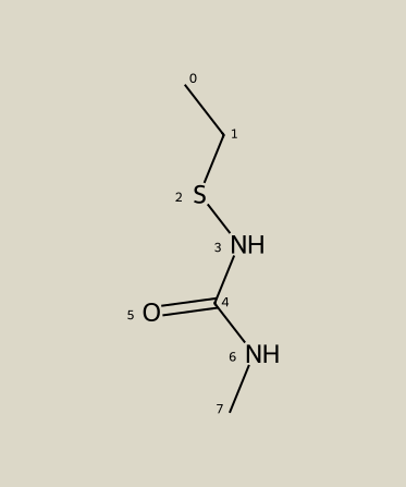 CCSNC(=O)NC